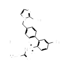 CCCc1ccc(S(=O)(=O)[N-]C(=O)OC)c(-c2ccc(Cn3ccnc3C(C)(C)C)cc2)c1.[K+]